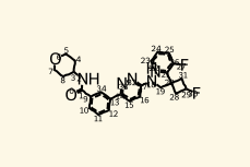 O=C(NC1CCOCC1)c1cccc(-c2ccc(NCC3(c4ncccc4F)CC(F)C3)nn2)c1